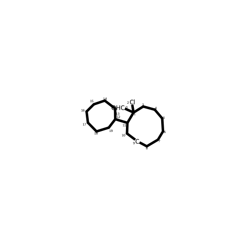 O=CC1(Cl)CCCCCCCCC1C1CCCCCCC1